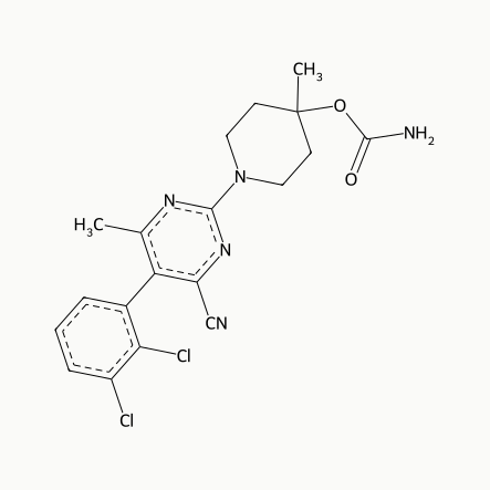 Cc1nc(N2CCC(C)(OC(N)=O)CC2)nc(C#N)c1-c1cccc(Cl)c1Cl